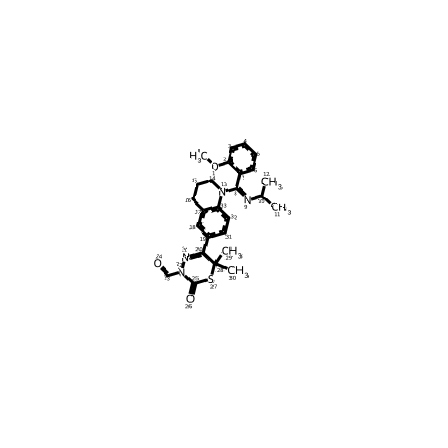 COc1ccccc1C(=NC(C)C)N1CCCc2cc(C3=NN(C=O)C(=O)SC3(C)C)ccc21